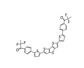 CC(F)(F)C(=O)c1ccc(-c2ccc(-c3cc4sc5cc(-c6ccc(-c7ccc(C(=O)C(C)(F)F)cc7)s6)sc5c4s3)s2)cc1